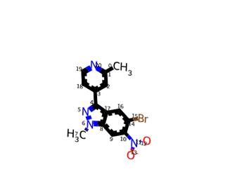 Cc1cc(-c2nn(C)c3cc([N+](=O)[O-])c(Br)cc23)ccn1